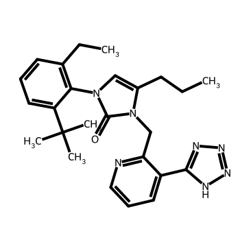 CCCc1cn(-c2c(CC)cccc2C(C)(C)C)c(=O)n1Cc1ncccc1-c1nnn[nH]1